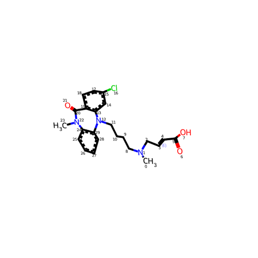 CN(C/C=C/C(=O)O)CCCCN1c2cc(Cl)ccc2C(=O)N(C)c2ccccc21